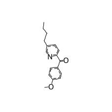 CCCCc1ccc(C(=O)c2ccc(OC)cc2)nc1